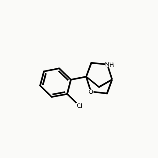 Clc1ccccc1C12CNC(CO1)C2